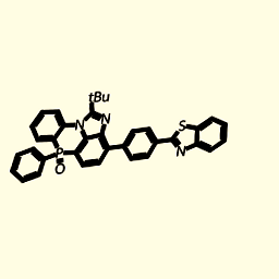 CC(C)(C)c1nc2c(-c3ccc(-c4nc5ccccc5s4)cc3)ccc3c2n1-c1ccccc1P3(=O)c1ccccc1